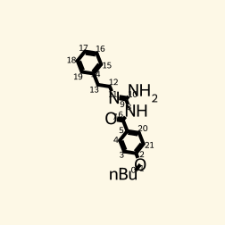 CCCCOc1ccc(C(=O)NC(N)=NCCc2ccccc2)cc1